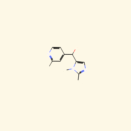 Cc1ncc(C(O)c2ccnc(C(F)(F)F)c2)n1C